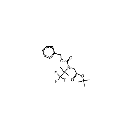 CC(C)(C)OC(=O)CN(C(=O)OCc1ccccc1)C(C)(C)C(F)(F)F